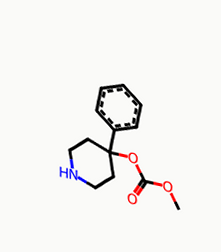 COC(=O)OC1(c2ccccc2)CCNCC1